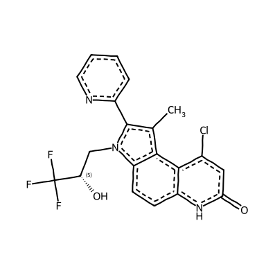 Cc1c(-c2ccccn2)n(C[C@H](O)C(F)(F)F)c2ccc3[nH]c(=O)cc(Cl)c3c12